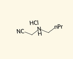 CCCCNCC#N.Cl